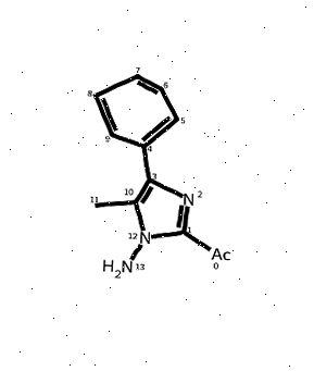 CC(=O)c1nc(-c2ccccc2)c(C)n1N